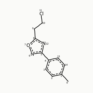 Cc1ccc(-c2noc(CCCl)n2)cc1